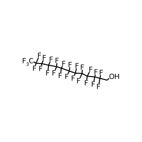 OCC(F)(F)C(F)(F)C(F)(F)C(F)(F)C(F)(F)C(F)(F)C(F)(F)C(F)(F)C(F)(F)C(F)(F)C(F)(F)C(F)(F)F